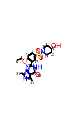 CCOc1ccc(S(=O)(=O)N2CCC(O)CC2)cc1-c1nn2c(C)nc(C)c2c(=O)[nH]1